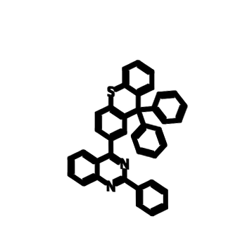 c1ccc(-c2nc(-c3ccc4c(c3)C(c3ccccc3)(c3ccccc3)c3ccccc3S4)c3ccccc3n2)cc1